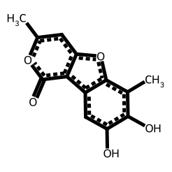 Cc1cc2oc3c(C)c(O)c(O)cc3c2c(=O)o1